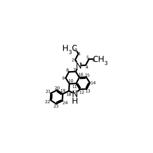 CCCN(CCC)C1CCC2c3c(cccc31)NC2c1ccccc1